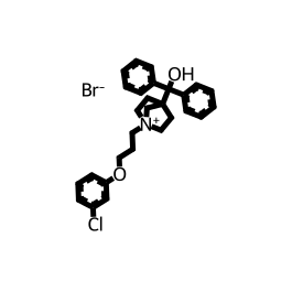 OC(c1ccccc1)(c1ccccc1)C12CC[N+](CCCOc3cccc(Cl)c3)(CC1)C2.[Br-]